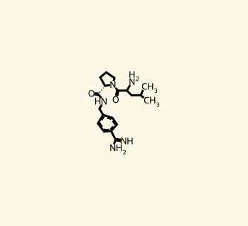 CC(C)CC(N)C(=O)N1CCC[C@H]1C(=O)NCc1ccc(C(=N)N)cc1